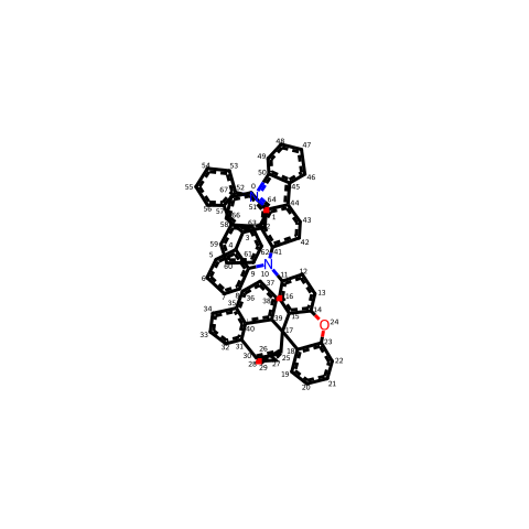 c1ccc(-c2ccccc2N(c2ccc3c(c2)C2(c4ccccc4O3)c3ccccc3-c3cccc4cccc2c34)c2ccc3c4ccccc4n(-c4ccccc4-c4ccccc4)c3c2)cc1